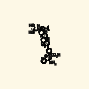 C=C(C)[C@@H]1CC[C@]2(NC[C@@](C)(O)CO)CC[C@]3(C)[C@H](CC[C@@H]4[C@@]5(C)CC=C(C6=CC[C@](COc7ncccc7C(N)=O)(C(=O)O)CC6)C(C)(C)[C@@H]5CC[C@]43C)[C@@H]12